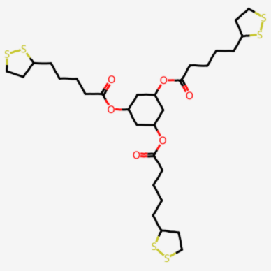 O=C(CCCCC1CCSS1)OC1CC(OC(=O)CCCCC2CCSS2)CC(OC(=O)CCCCC2CCSS2)C1